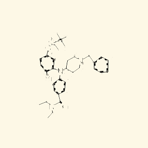 CCN(CC)C(=O)c1ccc(N(c2cc(O[Si](C)(C)C(C)(C)C)ccc2Br)C2CCN(Cc3ccccc3)CC2)cc1